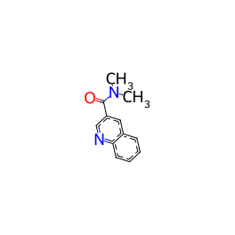 CN(C)C(=O)c1cnc2ccccc2c1